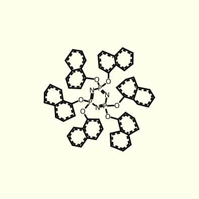 c1ccc2c(OP3(Oc4cccc5ccccc45)=NP(Oc4cccc5ccccc45)(Oc4cccc5ccccc45)=NP(Oc4cccc5ccccc45)(Oc4cccc5ccccc45)=N3)cccc2c1